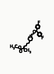 CCOC(=O)/C(C)=C/CCCC1CCN(CCOC(c2ccc(F)cc2)c2ccc(F)cc2)CC1